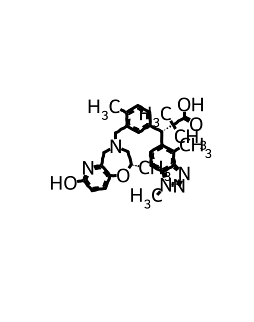 Cc1ccc([C@@H](c2ccc3c(nnn3C)c2C)C(C)(C)C(=O)O)cc1CN1Cc2nc(O)ccc2O[C@@H](C)C1